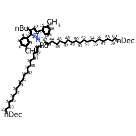 CCCCC1=C(c2cccc(C)c2)[N+](=[N-])C(c2cccc(C)c2)=C1.CCCCCCCCCCCCCCCCCCCCCCCCCCCC=[CH][Pd][CH]=CCCCCCCCCCCCCCCCCCCCCCCCCCCC